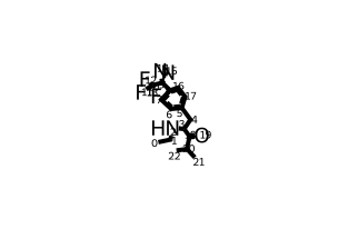 CCNC(Cc1ccc(C2(C(F)(F)F)N=N2)cc1)C(=O)C(C)C